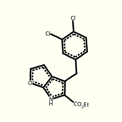 CCOC(=O)c1[nH]c2occc2c1Cc1ccc(Cl)c(Cl)c1